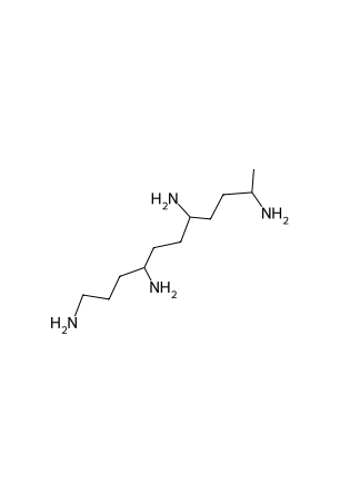 CC(N)CCC(N)CCC(N)CCCN